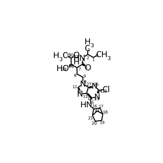 CCC(C)NC(=O)C(CCn1cnc2c(NC3CC4CCC3C4)nc(Cl)nc21)[C@@H](O)C(C)O